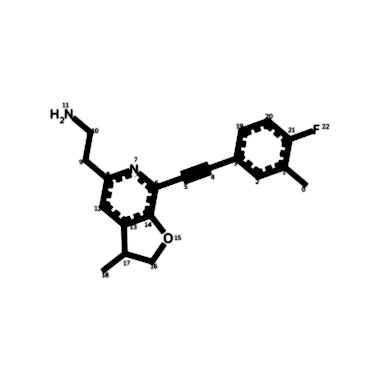 Cc1cc(C#Cc2nc(CCN)cc3c2OCC3C)ccc1F